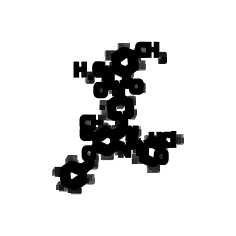 COc1cc2c(N3CCC(n4c(=O)c5cc(C)ccc5n(C)c4=O)CC3)nc(N3CCOCC3)nc2cc1OCc1ccccc1.Cl